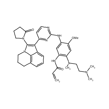 C=CC(=O)Nc1cc(Nc2nccc(-c3c(N4CCCC4=O)n4c5c(cccc35)CCC4)n2)c(OC)cc1N(C)CCN(C)C